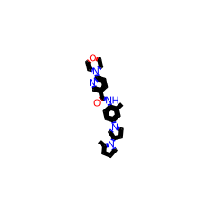 Cc1cc(N2CCC(N3CCCC3C)C2)ccc1NC(=O)c1ccc(N2CCOCC2)nc1